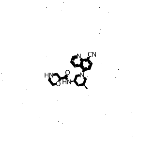 C[C@H]1C[C@@H](NC(=O)C2CNCCO2)CN(c2ccc(C#N)c3ncccc23)C1